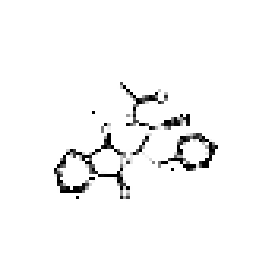 CC(=O)O[C@@H](C#N)[C@H](Cc1ccccc1)N1C(=O)c2ccccc2C1=O